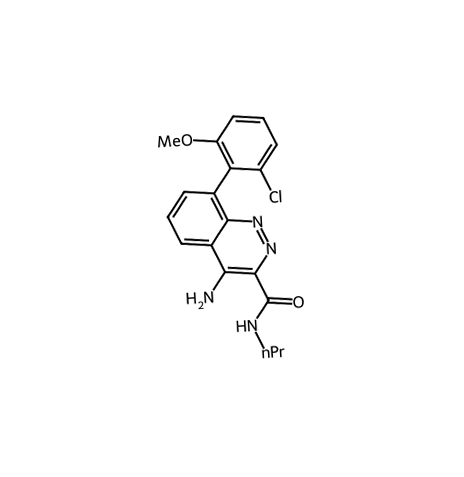 CCCNC(=O)c1nnc2c(-c3c(Cl)cccc3OC)cccc2c1N